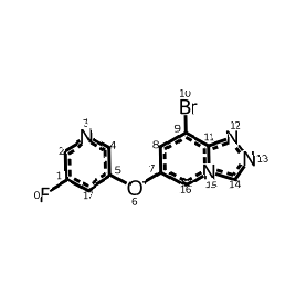 Fc1cncc(Oc2cc(Br)c3nncn3c2)c1